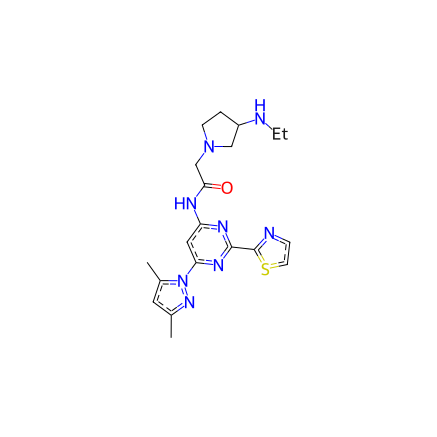 CCNC1CCN(CC(=O)Nc2cc(-n3nc(C)cc3C)nc(-c3nccs3)n2)C1